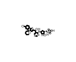 O=C(c1cc([C@@]2(c3cccc(Cl)c3)CCCCO2)cs1)c1cncnc1N[C@@H]1C[C@H](CNS(=O)(=O)O)[C@@H](O)C1